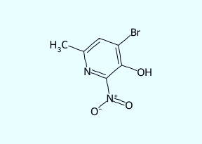 Cc1cc(Br)c(O)c([N+](=O)[O-])n1